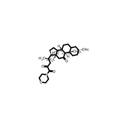 CC(=O)O[C@@H]1CC[C@@]2(C)C(CC[C@H]3[C@@H]4CC[C@H]([C@H](C)CC(=O)C(=O)N5CCOCC5)[C@@]4(C)CC(=O)[C@@H]32)C1